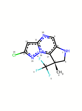 C[C@]1(C(F)(F)F)CNc2cnc3cc(Cl)nn3c21